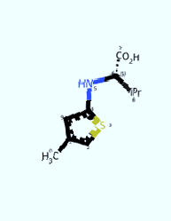 Cc1csc(N[C@H](C(=O)O)C(C)C)c1